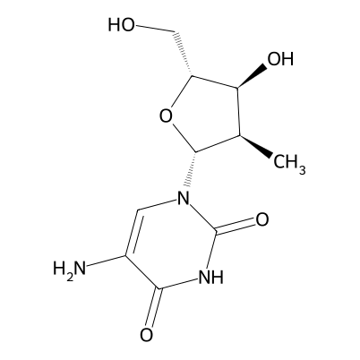 C[C@@H]1[C@H](O)[C@@H](CO)O[C@H]1n1cc(N)c(=O)[nH]c1=O